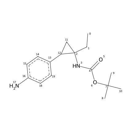 CCC1(NC(=O)OC(C)(C)C)CC1c1ccc(N)cc1